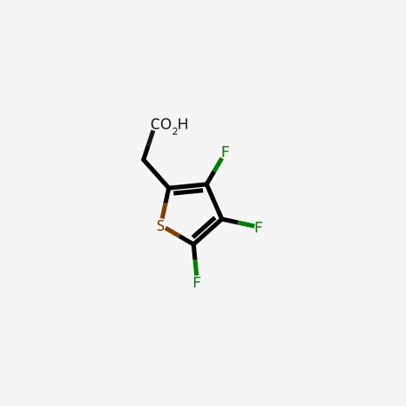 O=C(O)Cc1sc(F)c(F)c1F